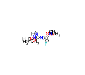 CON(C)C(=O)C[C@@H]1CC2(CCN(c3ccc4c(c3)N3CCC[C@H]3CN4C(=O)OC(C)(C)C)CC2)c2cc(F)ccc21